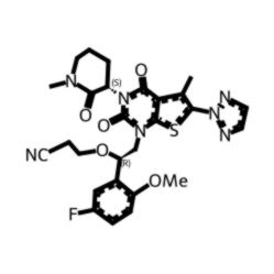 COc1ccc(F)cc1[C@H](Cn1c(=O)n([C@H]2CCCN(C)C2=O)c(=O)c2c(C)c(-n3nccn3)sc21)OCCC#N